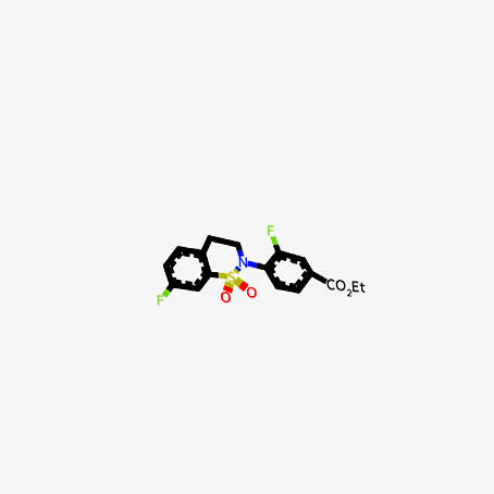 CCOC(=O)c1ccc(N2CCc3ccc(F)cc3S2(=O)=O)c(F)c1